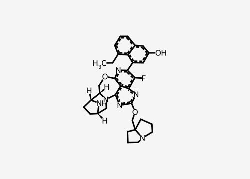 CCc1cccc2cc(O)cc(-c3nc4c5c(nc(OCC67CCCN6CCC7)nc5c3F)N3C[C@@H]5CC[C@@H](N5)[C@@H]3CO4)c12